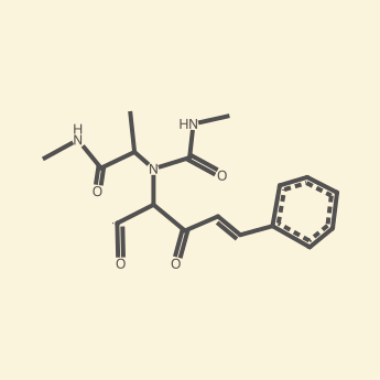 CNC(=O)C(C)N(C(=O)NC)C([C]=O)C(=O)C=Cc1ccccc1